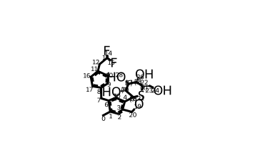 Cc1cc2c(cc1Cc1ccc(CC(F)F)cc1)[C@]1(OC2)S[C@H](CO)[C@@H](O)[C@H](O)[C@H]1O